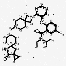 CCN(C(=O)c1cc(F)ccc1Oc1cncnc1N1CC2(CCN(C[C@H]3CC[C@]4(CC3)CC3(CC3)C(=O)N4)CC2)C1)C(C)C